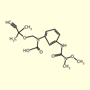 C#CC(C)(C)OCN(C(=O)O)c1cccc(NC(=O)N(C)OC)c1